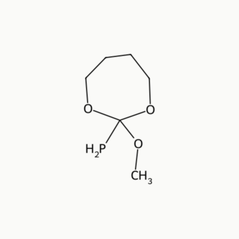 COC1(P)OCCCCO1